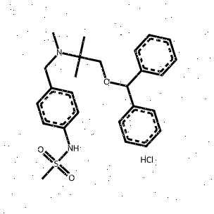 CN(Cc1ccc(NS(C)(=O)=O)cc1)C(C)(C)COC(c1ccccc1)c1ccccc1.Cl